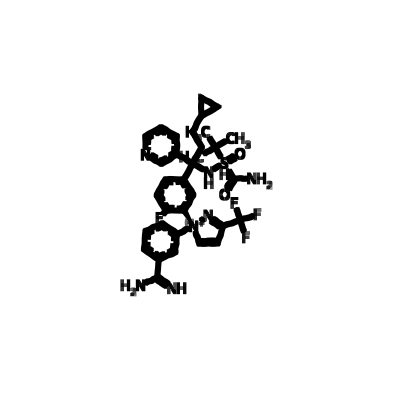 CC(C)(C)[SH](=O)(NC(CCC1CC1)(c1cccnc1)c1ccc(F)c([N@+]2(c3cccc(C(=N)N)c3)C=CC(C(F)(F)F)=N2)c1)C(N)=O